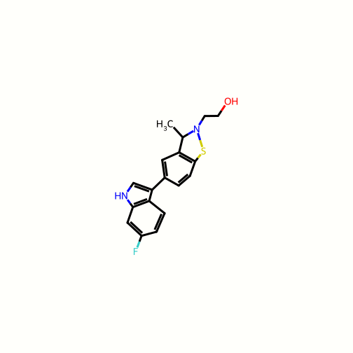 CC1c2cc(-c3c[nH]c4cc(F)ccc34)ccc2SN1CCO